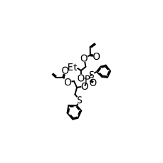 C=CC(=O)OCC(CC)OP(=O)(OC(COC(=O)C=C)CSc1ccccc1)Sc1ccccc1